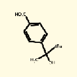 CC(C)(C)C(C)(O)c1ccc(C(=O)O)cc1